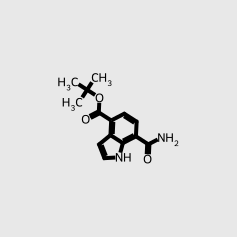 CC(C)(C)OC(=O)c1ccc(C(N)=O)c2[nH]ccc12